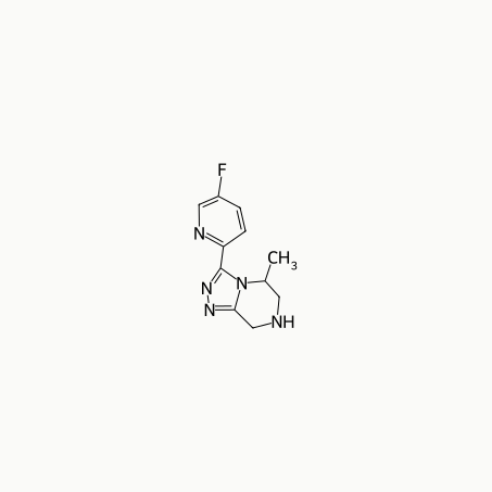 CC1CNCc2nnc(-c3ccc(F)cn3)n21